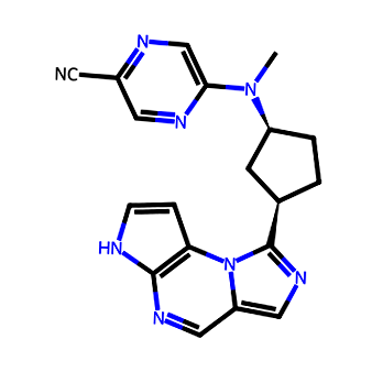 CN(c1cnc(C#N)cn1)[C@H]1CC[C@@H](c2ncc3cnc4[nH]ccc4n23)C1